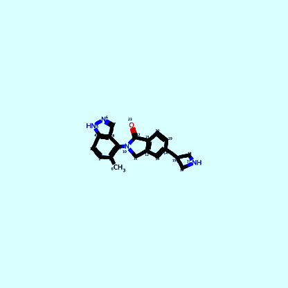 Cc1ccc2[nH]ncc2c1N1Cc2cc(C3CNC3)ccc2C1=O